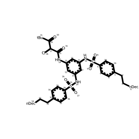 CCCCCCCCCCCCc1ccc(S(=O)(=O)Nc2cc(NC(=O)C(Cl)C(=O)C(C)(C)C)cc(NS(=O)(=O)c3ccc(CCCCCCCCCCCC)cc3)c2)cc1